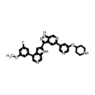 COc1cc(F)cc(-c2cncc3[nH]c(-c4n[nH]c5cnc(-c6cncc(OC7CCNCC7)c6)cc45)cc23)c1